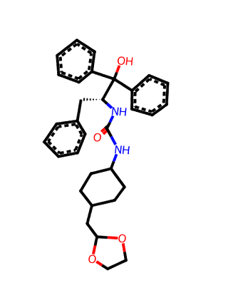 O=C(NC1CCC(CC2OCCO2)CC1)N[C@H](Cc1ccccc1)C(O)(c1ccccc1)c1ccccc1